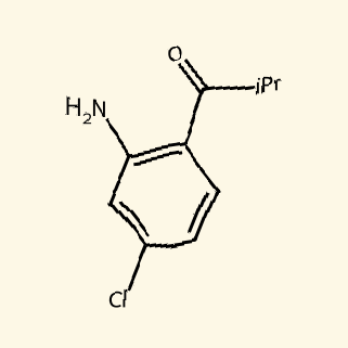 CC(C)C(=O)c1ccc(Cl)cc1N